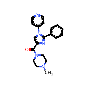 CN1CCN(C(=O)c2cn(-c3ccncc3)c(-c3ccccc3)n2)CC1